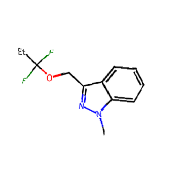 CCC(F)(F)OCc1nn(C)c2ccccc12